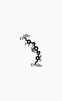 CCCCC(CC)CCc1ccc(-c2ccc(-c3ccc(-c4ccc(-c5ccc(CCC(CC)CCCC)c(F)c5F)s4)c4nsnc34)s2)c(F)c1F